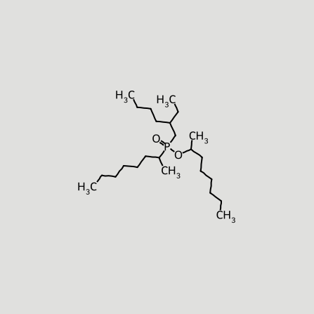 CCCCCCC(C)OP(=O)(CC(CC)CCCC)C(C)CCCCCC